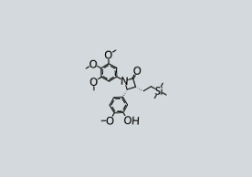 COc1ccc([C@H]2[C@@H](CC[Si](C)(C)C)C(=O)N2c2cc(OC)c(OC)c(OC)c2)cc1O